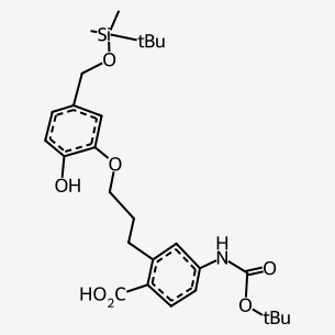 CC(C)(C)OC(=O)Nc1ccc(C(=O)O)c(CCCOc2cc(CO[Si](C)(C)C(C)(C)C)ccc2O)c1